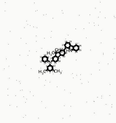 Cc1cc(C)cc(N(c2ccccc2)c2ccc3c(c2)C(C)(C)c2cc(-c4cccc5c4[nH]c4ccccc45)ccc2-3)c1